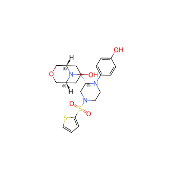 O=S(=O)(c1cccs1)N1CCN(c2ccc(O)cc2)[C@@H](CN2[C@@H]3COC[C@H]2CC(O)C3)C1